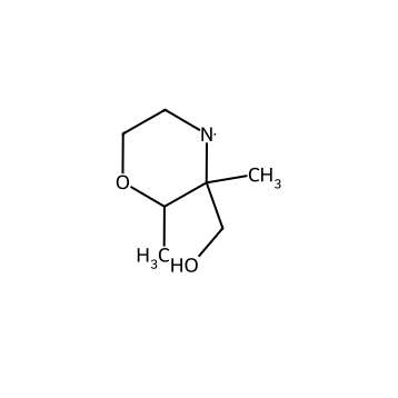 CC1OCC[N]C1(C)CO